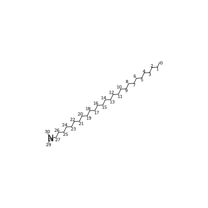 CCCCCCCCCCCCCCCCCCCCCCCCCCCCN(C)C